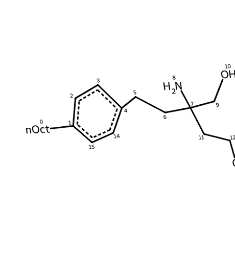 CCCCCCCCc1ccc(CCC(N)(CO)CCO)cc1